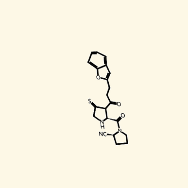 N#C[C@@H]1CCCN1C(=O)[C@H]1NCC(=S)C1C(=O)CCc1cc2ccccc2o1